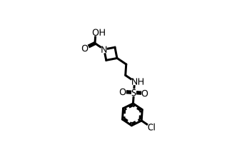 O=C(O)N1CC(CCNS(=O)(=O)c2cccc(Cl)c2)C1